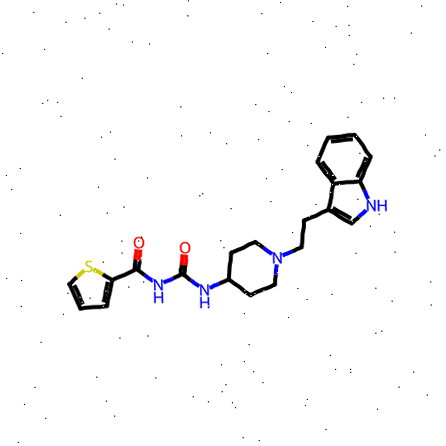 O=C(NC(=O)c1cccs1)NC1CCN(CCc2c[nH]c3ccccc23)CC1